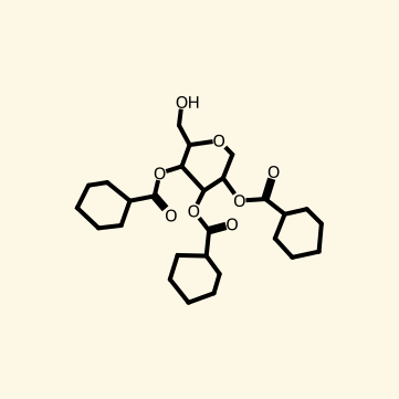 O=C(OC1COC(CO)C(OC(=O)C2CCCCC2)C1OC(=O)C1CCCCC1)C1CCCCC1